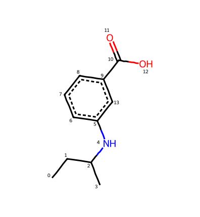 CCC(C)Nc1cccc(C(=O)O)c1